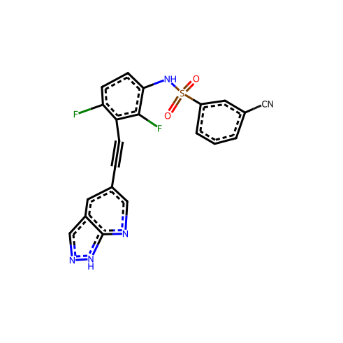 N#Cc1cccc(S(=O)(=O)Nc2ccc(F)c(C#Cc3cnc4[nH]ncc4c3)c2F)c1